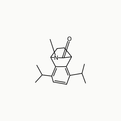 CC(C)c1ccc(C(C)C)c2c1C1CCC2N(C)C1=O